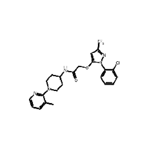 Cc1cccnc1N1CCC(NC(=O)COc2cc(C(F)(F)F)nn2-c2ccccc2Cl)CC1